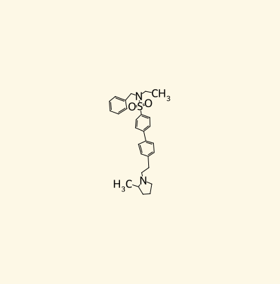 CCN(Cc1ccccc1)S(=O)(=O)c1ccc(-c2ccc(CCN3CCCC3C)cc2)cc1